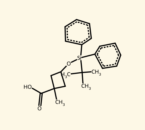 CC1(C(=O)O)CC(O[Si](c2ccccc2)(c2ccccc2)C(C)(C)C)C1